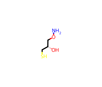 NOC[C@H](O)CS